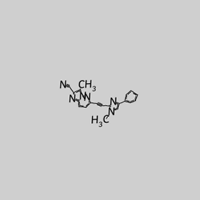 Cc1c(C#N)nc2ccc(C#Cc3nc(-c4ccccc4)cn3C)nn12